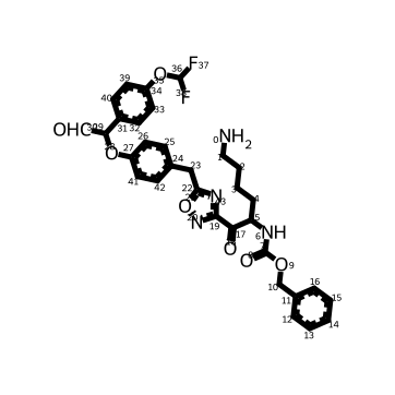 NCCCCC(NC(=O)OCc1ccccc1)C(=O)c1noc(Cc2ccc(OC(C=O)c3ccc(OC(F)F)cc3)cc2)n1